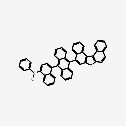 [O-][S+](c1ccccc1)c1ccc(-c2c3ccccc3c(-c3cc4oc5ccc6ccccc6c5c4c4ccccc34)c3ccccc23)c2ccccc12